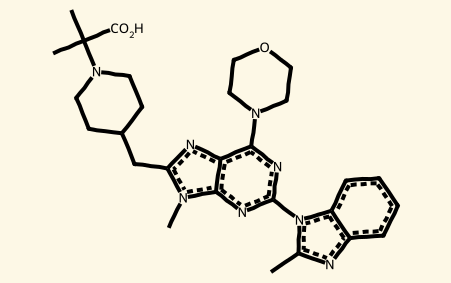 Cc1nc2ccccc2n1-c1nc(N2CCOCC2)c2nc(CC3CCN(C(C)(C)C(=O)O)CC3)n(C)c2n1